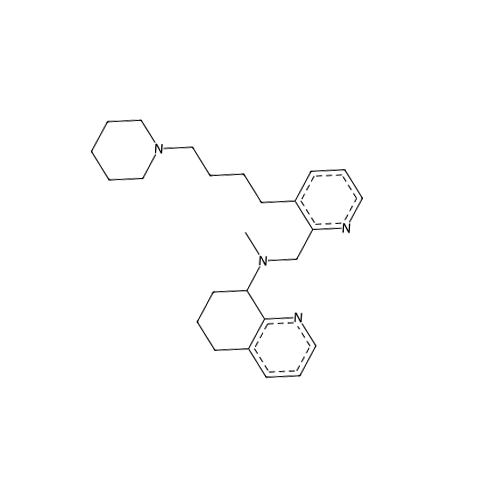 CN(Cc1ncccc1CCCCN1CCCCC1)C1CCCc2cccnc21